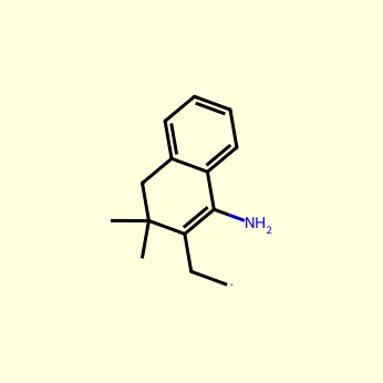 [CH2]CC1=C(N)c2ccccc2CC1(C)C